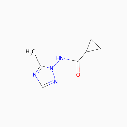 Cc1ncnn1NC(=O)C1CC1